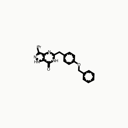 CC(C)c1n[nH]c2c(=O)[nH]c(Cc3ccc(OCc4ccccc4)cc3)nc12